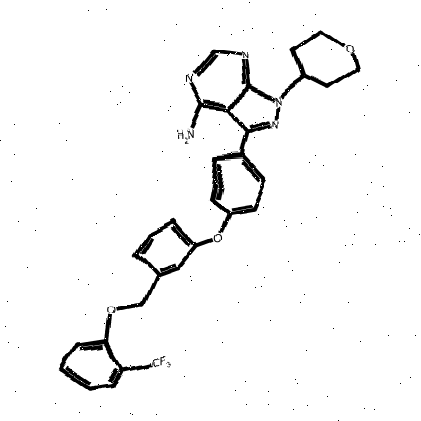 Nc1ncnc2c1c(-c1ccc(Oc3cccc(COc4ccccc4C(F)(F)F)c3)cc1)nn2C1CCOCC1